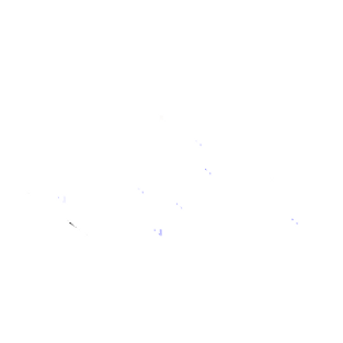 CNC(=O)[C@@H]1CC[C@@H](Nc2ncc3c(Br)nn(-c4ccc5ncc(Cl)cc5c4)c3n2)C1